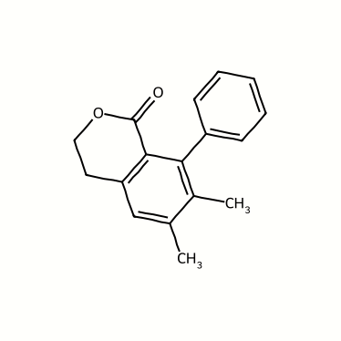 Cc1cc2c(c(-c3ccccc3)c1C)C(=O)OCC2